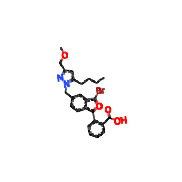 CCCCc1cc(COC)nn1Cc1ccc2c(-c3ccccc3C(=O)O)oc(Br)c2c1